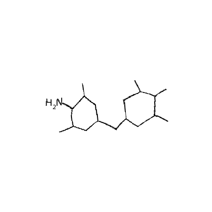 CC1CC(CC2CC(C)C(N)C(C)C2)CC(C)C1C